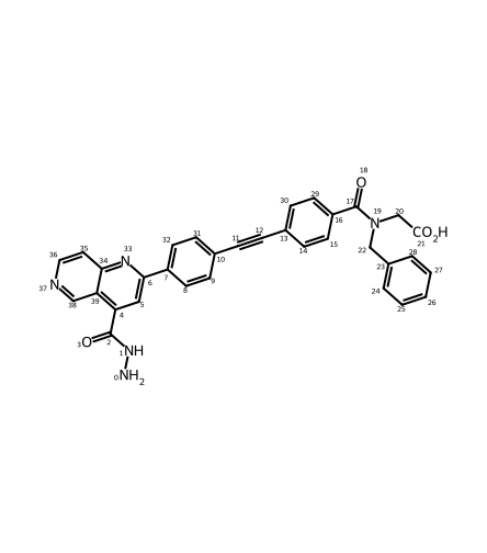 NNC(=O)c1cc(-c2ccc(C#Cc3ccc(C(=O)N(CC(=O)O)Cc4ccccc4)cc3)cc2)nc2ccncc12